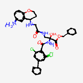 Nc1ccc2c(c1)[C@H](NCC(=O)NCC(O)(NC(=O)c1c(Cl)cc(-c3ccccc3)cc1Cl)C(=O)OCc1ccccc1)CCO2